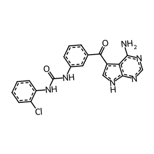 Nc1ncnc2[nH]cc(C(=O)c3cccc(NC(=O)Nc4ccccc4Cl)c3)c12